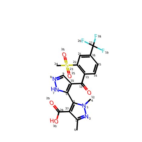 Cc1nn(C)c(-c2[nH]ncc2C(=O)c2ccc(C(F)(F)F)cc2S(C)(=O)=O)c1C(=O)O